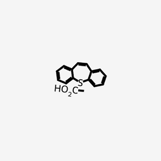 C1=Cc2ccccc2Sc2ccccc21.CC(=O)O